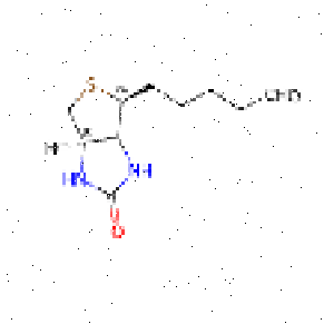 O=CCCCC[C@@H]1SC[C@@H]2NC(=O)NC21